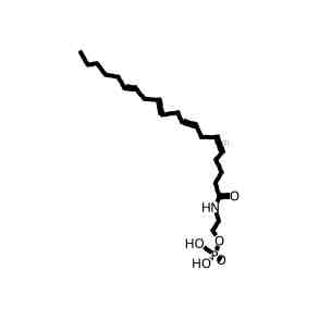 CCCCCC=CCC=CCC=CC/C=C\CCCC(=O)NCCOP(=O)(O)O